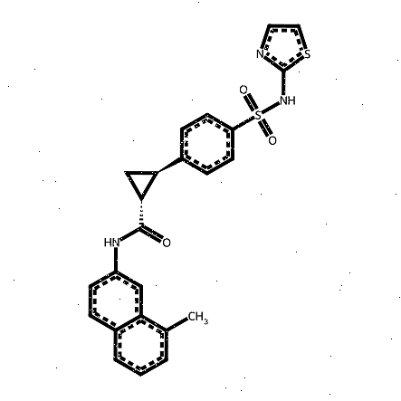 Cc1cccc2ccc(NC(=O)[C@@H]3C[C@H]3c3ccc(S(=O)(=O)Nc4nccs4)cc3)cc12